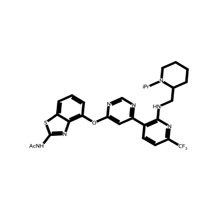 CC(=O)Nc1nc2c(Oc3cc(-c4ccc(C(F)(F)F)nc4NCC4CCCCN4C(C)C)ncn3)cccc2s1